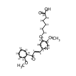 COc1cnc(/C=C/C(=O)c2ccccc2OC)cc1OCCCCCC(=O)O